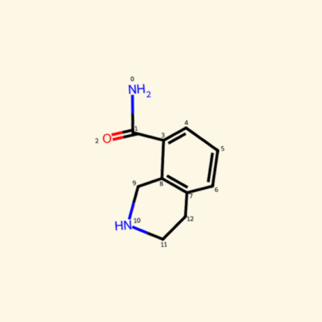 NC(=O)c1cccc2c1CNCC2